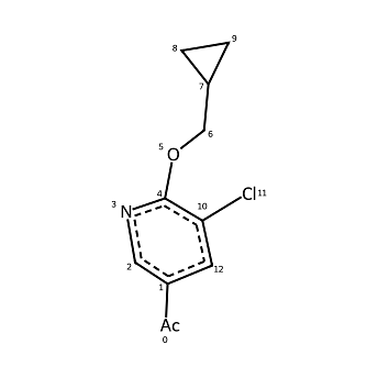 CC(=O)c1cnc(OCC2CC2)c(Cl)c1